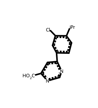 CC(C)c1ccc(-c2cc(C(=O)O)ncn2)cc1Cl